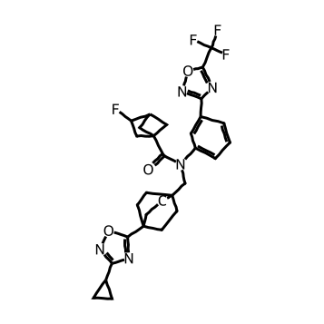 O=C(N(CC12CCC(c3nc(C4CC4)no3)(CC1)CC2)c1cccc(-c2noc(C(F)(F)F)n2)c1)C12CC(F)C(C1)C2